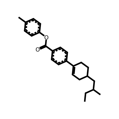 CCC(C)CC1CC=C(c2ccc(C(=O)Oc3ccc(C)cc3)cc2)CC1